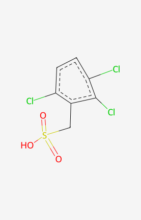 O=S(=O)(O)Cc1c(Cl)ccc(Cl)c1Cl